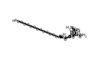 CCCOCCOCCOCCOCCOCCOCCOCCOCCOCCOCCOCCOCCOCCn1cc(CNC(=O)OCc2ccc(NC(=O)[C@H](CCCNC(N)=O)NC(=O)[C@H](CC(C)C)NC(=O)CON)cc2)nn1